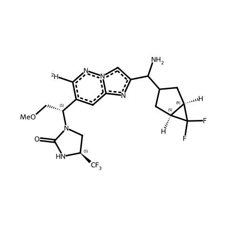 [2H]c1nn2cc(C(N)C3C[C@@H]4[C@H](C3)C4(F)F)nc2cc1[C@@H](COC)N1C[C@@H](C(F)(F)F)NC1=O